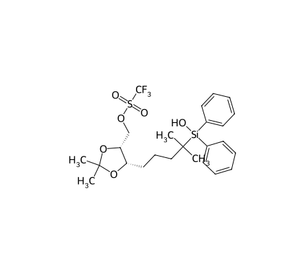 CC1(C)O[C@@H](CCCC(C)(C)[Si](O)(c2ccccc2)c2ccccc2)[C@@H](COS(=O)(=O)C(F)(F)F)O1